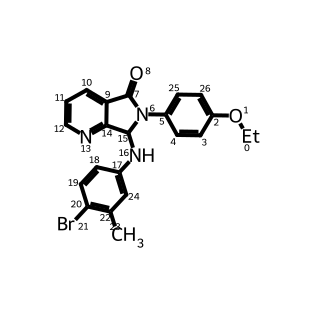 CCOc1ccc(N2C(=O)c3cccnc3C2Nc2ccc(Br)c(C)c2)cc1